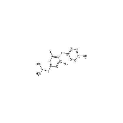 NC(O)Cc1cc(I)c(Oc2ccc(O)cc2)c(I)c1